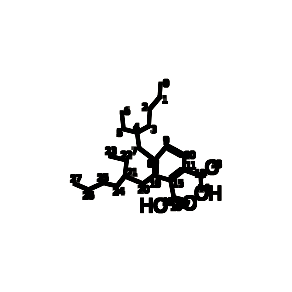 CCCCC(CC)Cc1ccc(C(=O)O)c(C(=O)O)c1CC(CC)CCCC